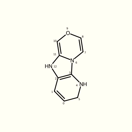 C1=CC2=C(NC1)N1C=COC=C1N2